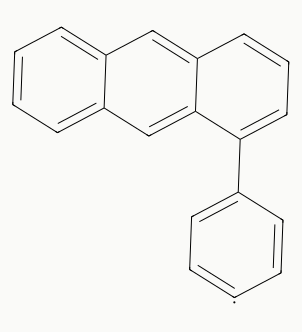 [c]1ccc(-c2cccc3cc4ccccc4cc23)cc1